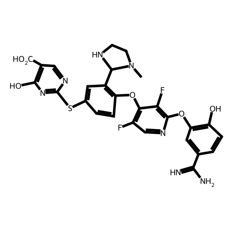 CN1CCNC1c1cc(Sc2ncc(C(=O)O)c(O)n2)ccc1Oc1c(F)cnc(Oc2cc(C(=N)N)ccc2O)c1F